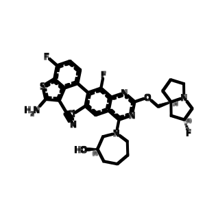 N#Cc1c(N)sc2c(F)ccc(-c3c(Cl)cc4c(N5CCCC[C@@H](O)C5)nc(OC[C@@]56CCCN5C[C@H](F)C6)nc4c3F)c12